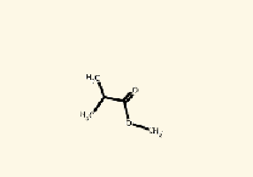 [CH2]OC(=O)C(C)C